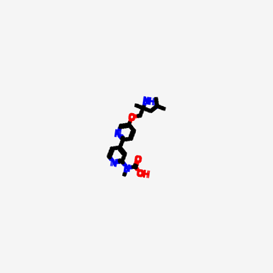 CC(C)CC(C)(N)COc1ccc(-c2ccnc(N(C)C(=O)O)c2)nc1